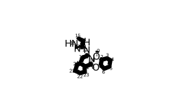 COc1ccccc1Oc1nc(Nc2cc[nH]n2)cc2ccccc12